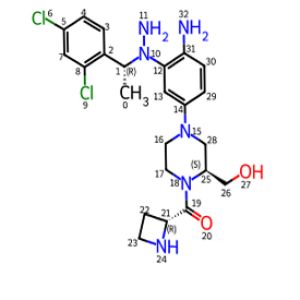 C[C@H](c1ccc(Cl)cc1Cl)N(N)c1cc(N2CCN(C(=O)[C@H]3CCN3)[C@H](CO)C2)ccc1N